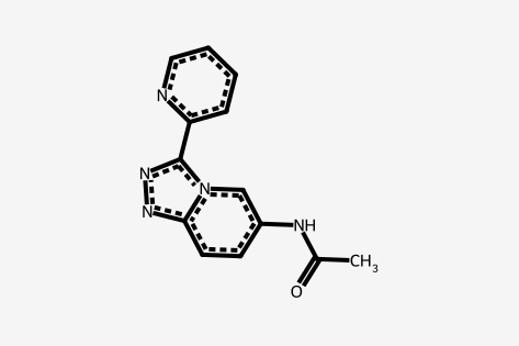 CC(=O)Nc1ccc2nnc(-c3ccccn3)n2c1